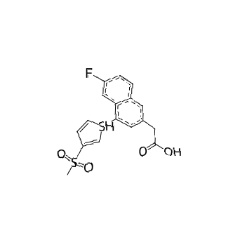 CS(=O)(=O)C1=C[SH](c2cc(CC(=O)O)cc3ccc(F)cc23)C=C1